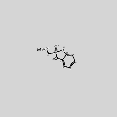 COCP1(=O)Oc2ccccc2O1